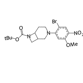 COc1cc(N2CCC3C(C2)CN3C(=O)OC(C)(C)C)c(Br)cc1[N+](=O)[O-]